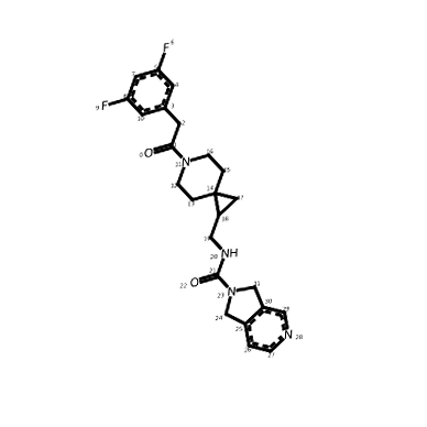 O=C(Cc1cc(F)cc(F)c1)N1CCC2(CC1)CC2CNC(=O)N1Cc2ccncc2C1